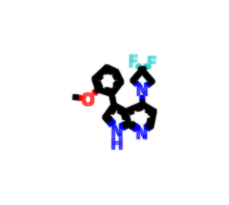 COc1ccccc1-c1c[nH]c2nccc(N3CC(F)(F)C3)c12